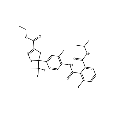 CCOC(=O)C1=NOC(c2ccc(NC(=O)c3c(I)cccc3C(=O)NC(C)C)c(C)c2)(C(F)(F)F)C1